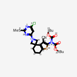 CSc1nc(Cl)cc(N2CC3(CCCc4sc(N(C(=O)OC(C)(C)C)C(=O)OC(C)(C)C)c(C#N)c43)C2)n1